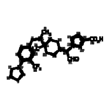 CN(Cc1ccc(N2CCCC2)c(C(F)(F)F)c1)C1(C)CCN(C(C=O)n2ccc(C(=O)O)n2)CC1